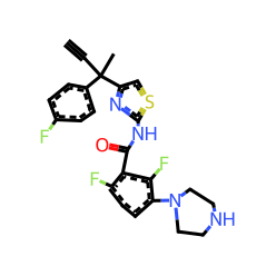 C#CC(C)(c1ccc(F)cc1)c1csc(NC(=O)c2c(F)ccc(N3CCNCC3)c2F)n1